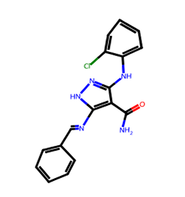 NC(=O)c1c(Nc2ccccc2Cl)n[nH]c1/N=C/c1ccccc1